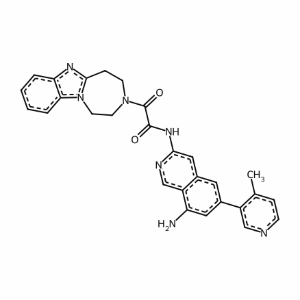 Cc1ccncc1-c1cc(N)c2cnc(NC(=O)C(=O)N3CCc4nc5ccccc5n4CC3)cc2c1